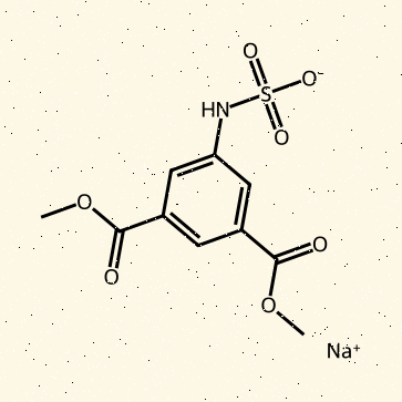 COC(=O)c1cc(NS(=O)(=O)[O-])cc(C(=O)OC)c1.[Na+]